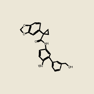 CC(C)(C)c1ccc(NC(=O)C2(c3ccc4c(c3)OCO4)CC2)cc1-c1cccc(CO)c1